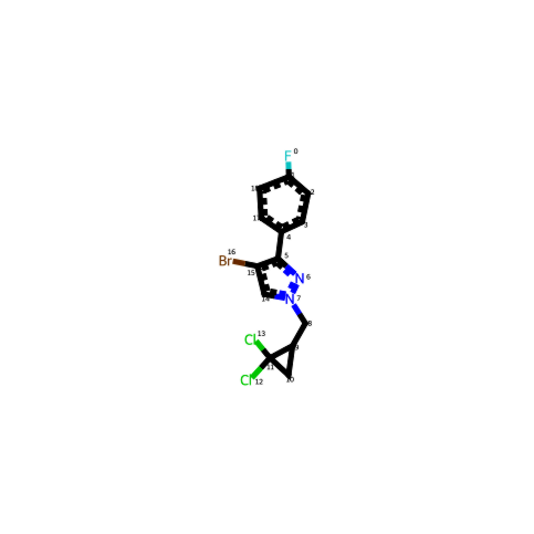 Fc1ccc(-c2nn(CC3CC3(Cl)Cl)cc2Br)cc1